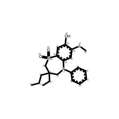 CCCC1(CC)CN(c2ccccc2)c2cc(SC)c(O)cc2S(=O)(=O)C1